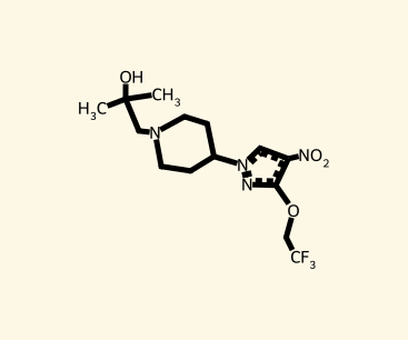 CC(C)(O)CN1CCC(n2cc([N+](=O)[O-])c(OCC(F)(F)F)n2)CC1